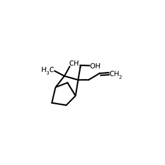 C=CCC1(CO)C2CCC(C2)C1(C)C